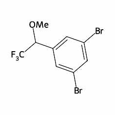 COC(c1cc(Br)cc(Br)c1)C(F)(F)F